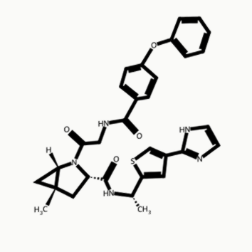 C[C@H](NC(=O)[C@@H]1C[C@]2(C)C[C@@H]2N1C(=O)CNC(=O)c1ccc(Oc2ccccc2)cc1)c1cc(-c2ncc[nH]2)cs1